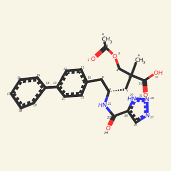 CC(=O)OCC(C)(C[C@@H](Cc1ccc(-c2ccccc2)cc1)NC(=O)c1cnn[nH]1)C(=O)O